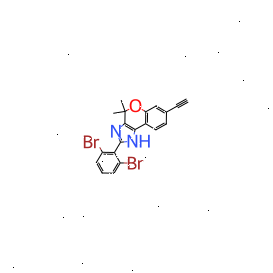 C#Cc1ccc2c(c1)OC(C)(C)c1nc(-c3c(Br)cccc3Br)[nH]c1-2